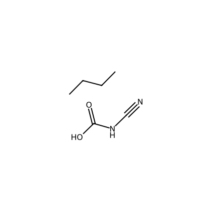 CCCC.N#CNC(=O)O